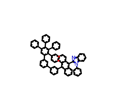 c1ccc(-c2cc(-c3cccc(-c4cccc(-c5c6ccccc6c(-c6nc7ccccc7n6-c6ccccc6)c6ccccc56)c4)c3)c(-c3ccccc3)c(-c3ccccc3)c2-c2ccccc2)cc1